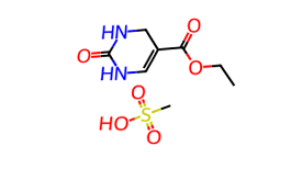 CCOC(=O)C1=CNC(=O)NC1.CS(=O)(=O)O